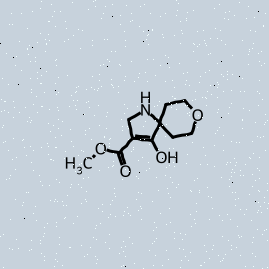 COC(=O)C1=C(O)C2(CCOCC2)NC1